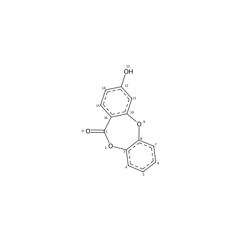 O=C1Oc2ccccc2Oc2cc(O)ccc21